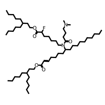 CCCCCCCCCCC(CCCCC=CC(=O)OCCC(CCCCC)CCCCC)N(CCCCCC(F)C(=O)OCCC(CCCCC)CCCCC)C(=O)CCCN(C)C